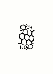 CC(C)=C1CCC2C3C(CC4C(C)(O)CCCC24C)C2=C4C(CC5C(C)(O)CCCC5(C)C4CCC2C(C)C)C13